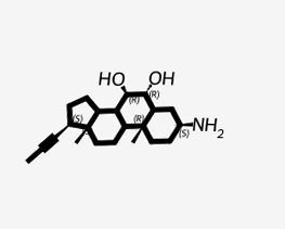 CC#C[C@H]1CCC2C3C(CC[C@@]21C)[C@@]1(C)CC[C@H](N)CC1[C@@H](O)[C@@H]3O